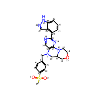 CS(=O)(=O)c1ccc(CN2CC3COCCN3c3nc(-c4cccc5[nH]ncc45)ncc32)cc1